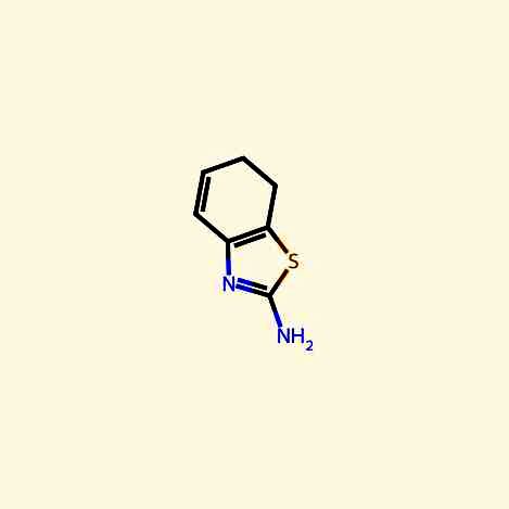 Nc1nc2c(s1)CCC=C2